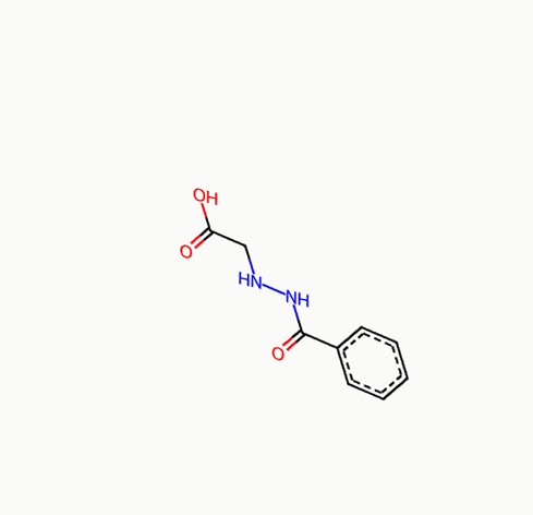 O=C(O)CNNC(=O)c1ccccc1